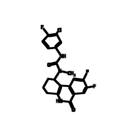 CN(C(=O)Nc1ccc(F)c(Cl)c1)C1CCCc2[nH]c(=O)c3cc(F)c(F)cc3c21